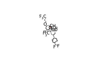 CS(=O)(=O)N1C(=O)C=C(c2ccc(C(F)F)cc2)CC1(c1ccc(OCCCC(F)(F)F)cc1F)C(F)(F)F